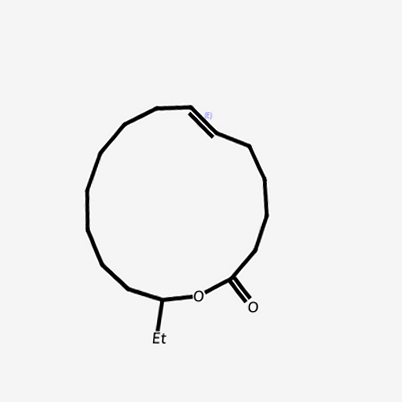 CCC1CCCCCCC/C=C/CCCCC(=O)O1